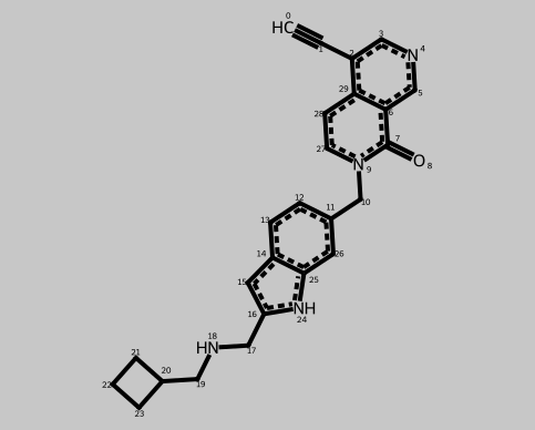 C#Cc1cncc2c(=O)n(Cc3ccc4cc(CNCC5CCC5)[nH]c4c3)ccc12